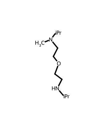 CC(C)NCCOCCN(C)C(C)C